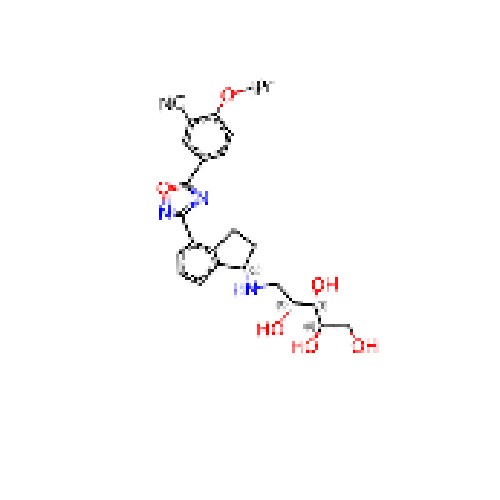 CC(C)Oc1ccc(-c2nc(-c3cccc4c3CC[C@@H]4NC[C@@H](O)[C@H](O)[C@H](O)CO)no2)cc1C#N